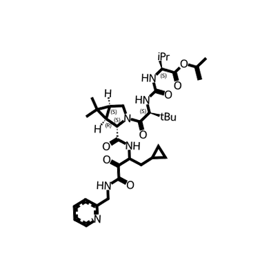 C=C(C)OC(=O)[C@@H](NC(=O)N[C@H](C(=O)N1C[C@H]2[C@@H]([C@H]1C(=O)NC(CC1CC1)C(=O)C(=O)NCc1ccccn1)C2(C)C)C(C)(C)C)C(C)C